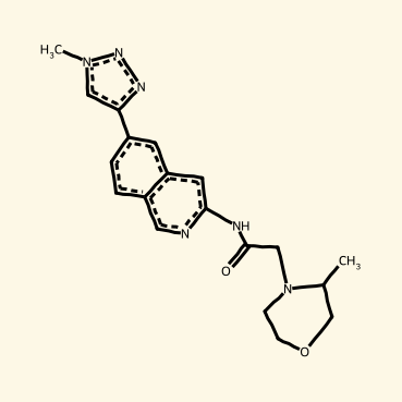 CC1COCCN1CC(=O)Nc1cc2cc(-c3cn(C)nn3)ccc2cn1